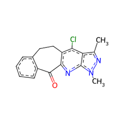 Cc1nn(C)c2nc3c(c(Cl)c12)CCc1ccccc1C3=O